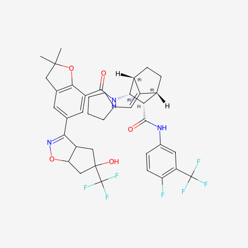 CC1(C)Cc2cc(C3=NOC4CC(O)(C(F)(F)F)CC34)cc(C(=O)N[C@H]3[C@@H](C(=O)Nc4ccc(F)c(C(F)(F)F)c4)[C@H]4CC[C@@H]3/C4=C\C3CCCC3)c2O1